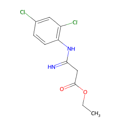 CCOC(=O)CC(=N)Nc1ccc(Cl)cc1Cl